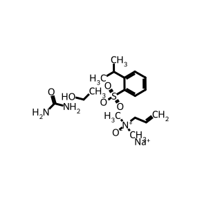 C=CC[N+](C)(C)[O-].CC(C)c1ccccc1S(=O)(=O)[O-].CCO.NC(N)=O.[Na+]